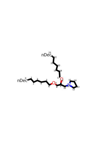 CCCCCCCCCCCCCCCCOCC(CN1CCCC1)OCCCCCCCCCCCCCCCC